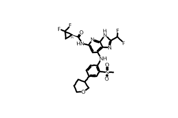 CS(=O)(=O)c1cc(C2CCCOC2)ccc1Nc1cc(NC(=O)[C@H]2CC2(F)F)nc2[nH]c(C(F)F)nc12